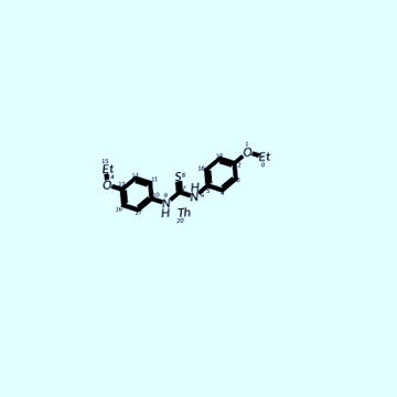 CCOc1ccc(NC(=S)Nc2ccc(OCC)cc2)cc1.[Th]